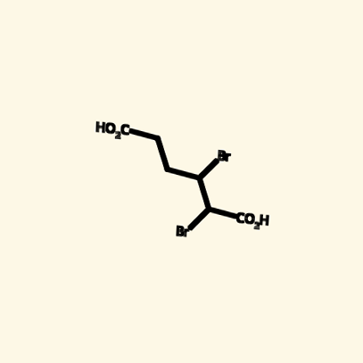 O=C(O)CCC(Br)C(Br)C(=O)O